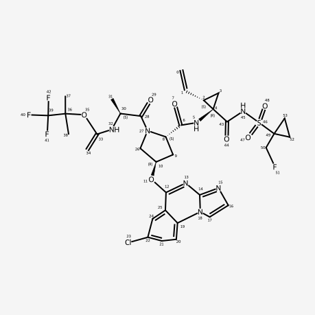 C=C[C@@H]1C[C@]1(NC(=O)[C@@H]1C[C@@H](Oc2nc3nccn3c3ccc(Cl)cc23)CN1C(=O)[C@H](C)NC(=C)OC(C)(C)C(F)(F)F)C(=O)NS(=O)(=O)C1(CF)CC1